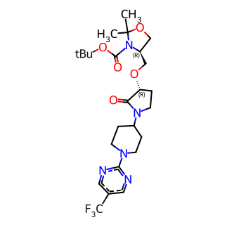 CC(C)(C)OC(=O)N1[C@H](CO[C@@H]2CCN(C3CCN(c4ncc(C(F)(F)F)cn4)CC3)C2=O)COC1(C)C